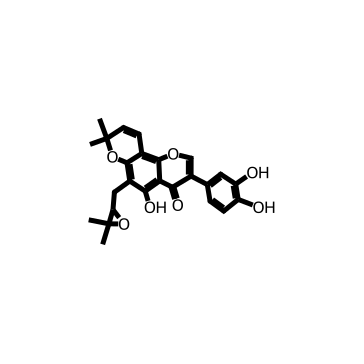 CC1(C)C=Cc2c(c(CC3OC3(C)C)c(O)c3c(=O)c(-c4ccc(O)c(O)c4)coc23)O1